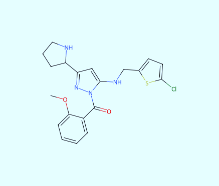 COc1ccccc1C(=O)n1nc(C2CCCN2)cc1NCc1ccc(Cl)s1